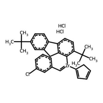 CC(C)(C)c1ccc2c(c1)Cc1c-2ccc(C(C)(C)C)[c]1/[Zr](=[CH]\c1cccc(Cl)c1)[C]1=CC=CC1.Cl.Cl